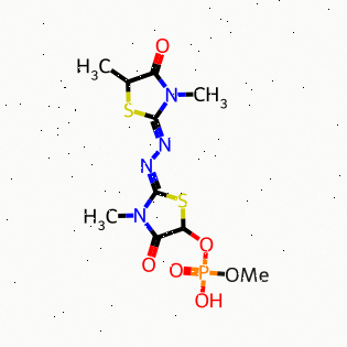 COP(=O)(O)OC1SC(=NN=C2SC(C)C(=O)N2C)N(C)C1=O